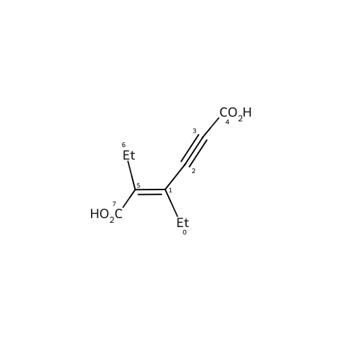 CCC(C#CC(=O)O)=C(CC)C(=O)O